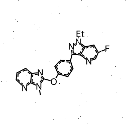 CCn1nc(-c2ccc(Oc3nc4cccnc4n3C)cc2)c2ncc(F)cc21